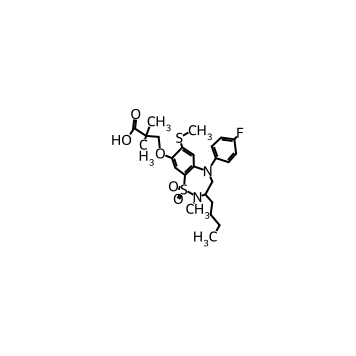 CCCCC1CN(c2ccc(F)cc2)c2cc(SC)c(OCC(C)(C)C(=O)O)cc2S(=O)(=O)N1C